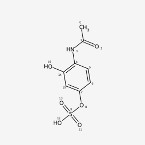 CC(=O)Nc1ccc(OS(=O)(=O)O)cc1O